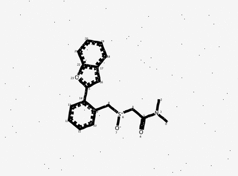 CN(C)C(=O)C[S+]([O-])Cc1ccccc1-c1cc2ccccc2o1